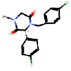 CC(C)N1CC(=O)N(Cc2ccc(Cl)cc2)[C@H](c2ccc(Cl)cc2)C1=O